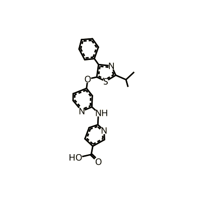 CC(C)c1nc(-c2ccccc2)c(Oc2ccnc(Nc3ccc(C(=O)O)cn3)c2)s1